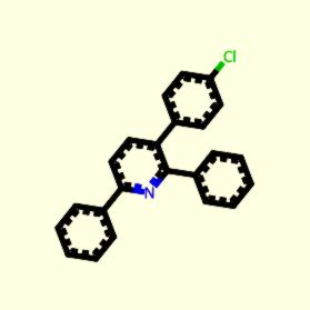 Clc1ccc(-c2ccc(-c3ccccc3)nc2-c2ccccc2)cc1